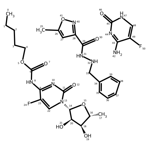 CCCCCOC(=O)Nc1nc(=O)n([C@@H]2O[C@H](C)[C@@H](O)[C@H]2O)cc1F.Cc1cc(C(=O)NNCc2ccccc2)no1.Nc1nc(=O)[nH]cc1F